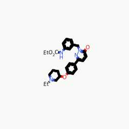 CCOC(=O)Nc1cccc(Cn2nc(-c3ccc(OC4CCCN(CC)C4)cc3)ccc2=O)c1